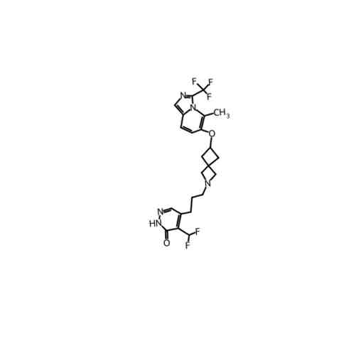 Cc1c(OC2CC3(C2)CN(CCCc2cn[nH]c(=O)c2C(F)F)C3)ccc2cnc(C(F)(F)F)n12